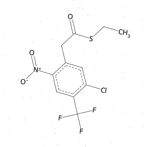 CCSC(=O)Cc1cc(Cl)c(C(F)(F)F)cc1[N+](=O)[O-]